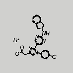 O=C([O-])Cc1cn(-c2ccc(Cl)cc2)c(-c2cnc(NC3Cc4ccccc4C3)nc2)n1.[Li+]